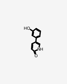 O=c1ccc(-c2cccc(O)c2)c[nH]1